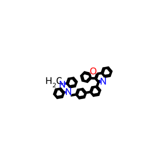 C=Nc1ccccc1N(Cc1ccc(-c2cccc(-c3nc4ccccc4c4oc5ccccc5c34)c2)cc1)c1ccccc1